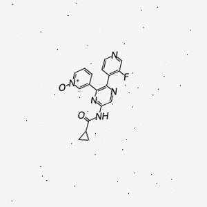 O=C(Nc1cnc(-c2ccncc2F)c(-c2ccc[n+]([O-])c2)n1)C1CC1